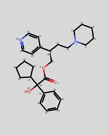 O=C(OC[C@H](CCN1CCCCC1)c1ccncc1)C(O)(c1ccccc1)C1CCCC1